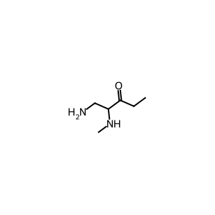 CCC(=O)C(CN)NC